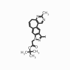 Cc1ncc2c(n1)CC=Cc1cc3c(cc1-2)c(I)nn3CC(=O)OC(C)(C)C